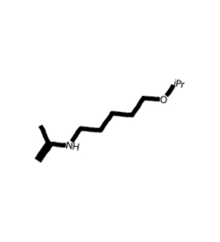 C=C(C)NCCCCCOC(C)C